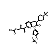 CC(C)(C)C1CCC(C(Cc2ccc(C(=O)NCCC(=O)O)nc2)C(=O)Nc2ccc(OC(F)(F)F)cc2)CC1